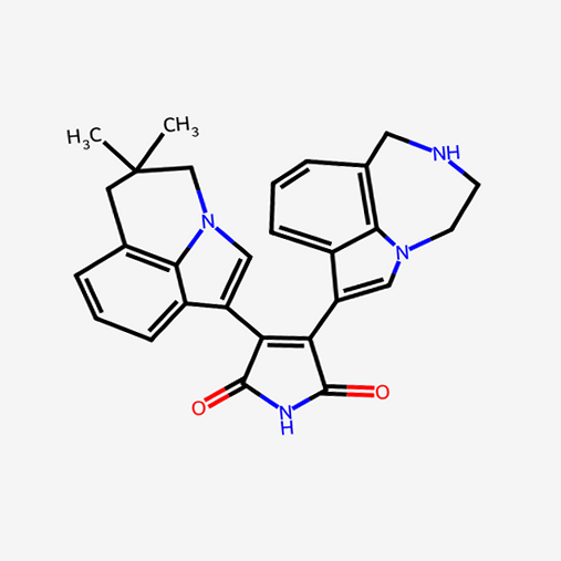 CC1(C)Cc2cccc3c(C4=C(c5cn6c7c(cccc57)CNCC6)C(=O)NC4=O)cn(c23)C1